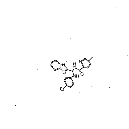 Cc1ccc(C(=O)NC(Nc2ccc(Cl)cc2)c2nc3ccccc3o2)nc1